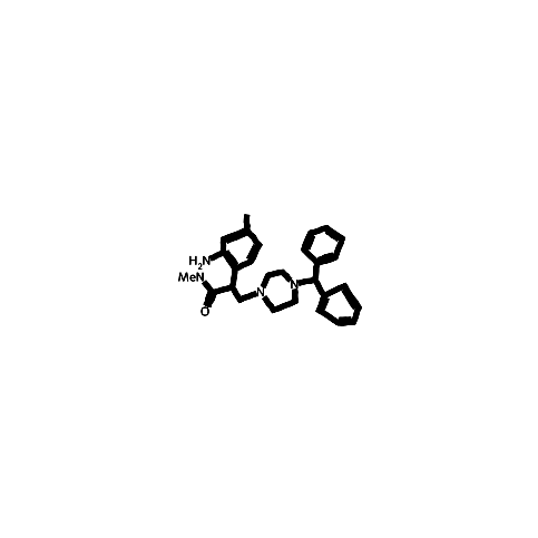 CNC(=O)C(CN1CCN(C(c2ccccc2)c2ccccc2)CC1)c1ccc(C)cc1N